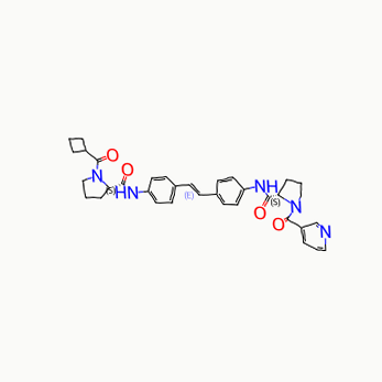 O=C(Nc1ccc(/C=C/c2ccc(NC(=O)[C@@H]3CCCN3C(=O)C3CCC3)cc2)cc1)[C@@H]1CCCN1C(=O)c1cccnc1